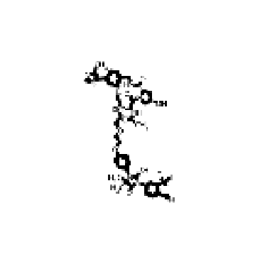 CC(=O)N[C@@H](C)C(=O)N1C[C@H](O)C[C@H]1C(=O)NCc1ccc(-c2scnc2C)cc1OCCOCCOCCOc1ccc(N2C(S)N(c3ccc(C#N)c(C(F)(F)F)c3)C(=O)C2(C)C)cc1